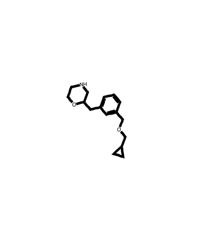 c1cc(COCC2CC2)cc(CC2CNCCO2)c1